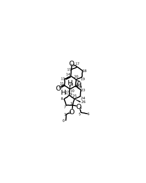 CCOC1(OCC)CC[C@H]2[C@@H]3C(=O)C=C4C5OC5CC[C@]4(C)[C@@H]3CC[C@@]21C